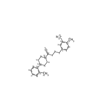 Cc1ccc(CCCC(=O)N2CCN(c3ccccc3C)CC2)cc1C